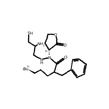 CC[C@H](C)CCCC(Cc1ccccc1)C(=O)N(NCC(N)CS)[C@@H]1CCOC1=O